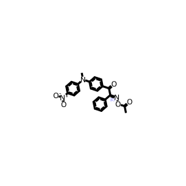 CC(=O)O/N=C(/C(=O)c1ccc(N(C)c2ccc([N+](=O)[O-])cc2)cc1)c1ccccc1